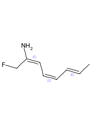 C/C=C/C=C\C=C(\N)CF